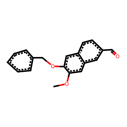 COc1cc2cc(C=O)ccc2cc1OCc1ccccc1